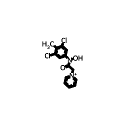 Cc1c(Cl)cc(N(O)C(=O)C[n+]2ccccc2)cc1Cl